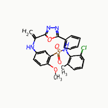 C=C(Nc1ccc(OC)c(S(=O)(=O)Nc2c(C)cccc2Cl)c1)c1nnc(-c2ccccc2)o1